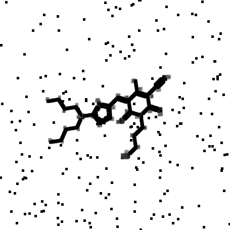 CCCCN(CCCC)c1ccc(C=C2C(=O)N(CCCO)C(=O)C(C#N)=C2C)s1